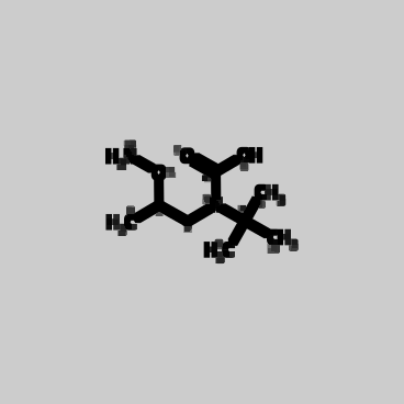 CC(CN(C(=O)O)C(C)(C)C)ON